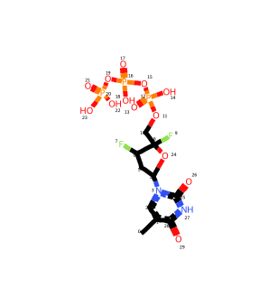 Cc1cn(C2CC(F)C(F)(COP(=O)(O)OP(=O)(O)OP(=O)(O)O)O2)c(=O)[nH]c1=O